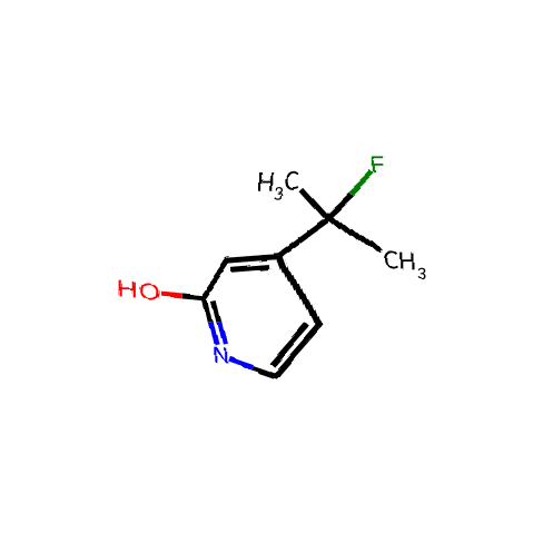 CC(C)(F)c1ccnc(O)c1